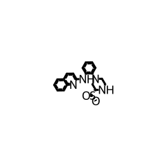 O=S(=O)=C1CN(c2ccccc2Nc2ccc3ccccc3n2)CCN1